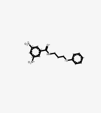 O=C(NCCCOc1ccccc1)c1cc([N+](=O)[O-])cc([N+](=O)[O-])c1